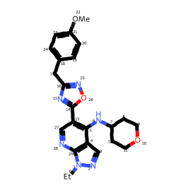 CCn1ncc2c(NC3CCOCC3)c(-c3nc(Cc4ccc(OC)cc4)no3)cnc21